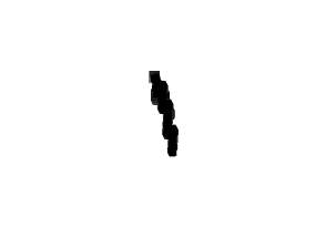 CCCCCC1CCC(CCCOc2ccc(C(=O)Oc3ccc(C#N)cc3F)cc2)CC1